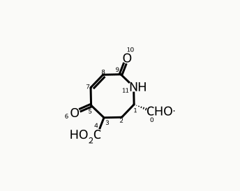 O=[C][C@@H]1CC(C(=O)O)C(=O)/C=C\C(=O)N1